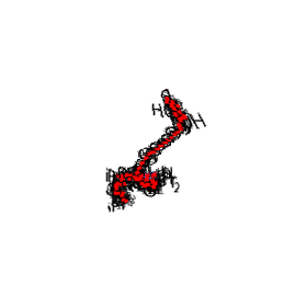 C/C=C/C[C@@H]1[C@@H](OC(=O)OCOC(=O)CCC(=O)OCCOCCOCCOCCOC(=O)CCC(=O)OCC(=O)[C@@]2(O)CCC3C4CCC5=CC(=O)C=C[C@]5(C)C4[C@@H](O)C[C@@]32C)C(N(C)C(=O)C(C(C)C)N(C)C(=O)C(CC(C)C)N(C)C(=O)C(CC(C)C)N(C)C(=O)C(C)NC(=O)C(C)N2C(=O)C(N(C)C(=O)CC(C)C)CC2C)C(=O)N1C(CC)C(=O)N(C)CC(=O)N(C)[C@@H](CC(C)C)C(N)=O